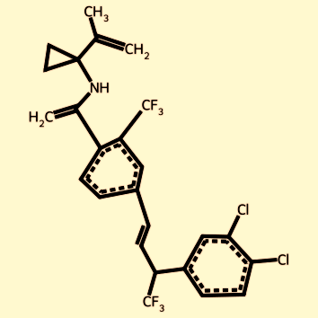 C=C(NC1(C(=C)C)CC1)c1ccc(/C=C/C(c2ccc(Cl)c(Cl)c2)C(F)(F)F)cc1C(F)(F)F